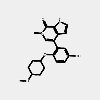 COC1CCC(Oc2ccc(O)cc2-c2cn(C)c(=O)c3[nH]ccc23)CC1